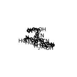 CC(=NO)c1nc(-c2ccc(CC(CCO)c3c(C(N)=O)ccc(OC(C)C)c3Cl)cc2)cn1C.Cc1cccn2cc(-c3ccc(CC(CCO)NC(=O)c4ccc(OC(C)C(F)(F)F)c(C#N)c4)cc3)nc12.Cc1cccn2cc(-c3ccc(CC(CNC(=O)CO)c4c(C(N)=O)ccc(OC(C)C)c4C#N)cc3)nc12